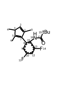 CC1=CC(C)C(C)=C1c1cc(F)cc(F)c1NC(=O)C(C)(C)C